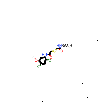 CC(C)Oc1cc(NC(=O)CSCC(=O)NS(=O)(=O)O)c(Cl)cc1Cl